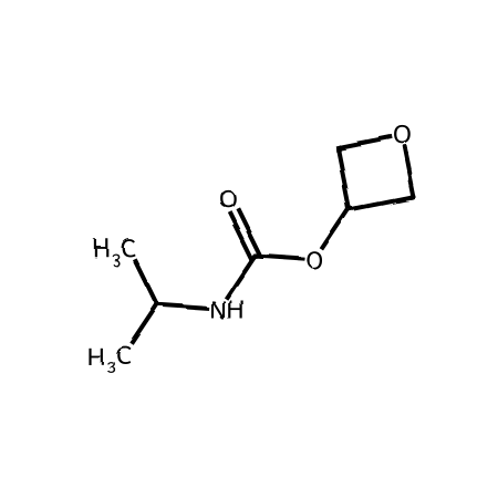 CC(C)NC(=O)OC1COC1